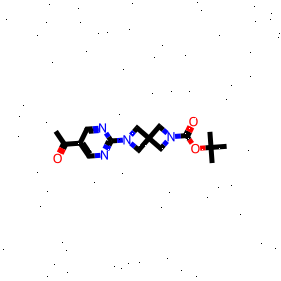 CC(=O)c1cnc(N2CC3(CN(C(=O)OC(C)(C)C)C3)C2)nc1